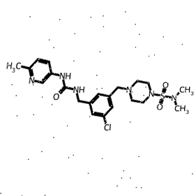 Cc1ccc(NC(=O)NCc2cc(Cl)cc(CN3CCN(S(=O)(=O)N(C)C)CC3)c2)cn1